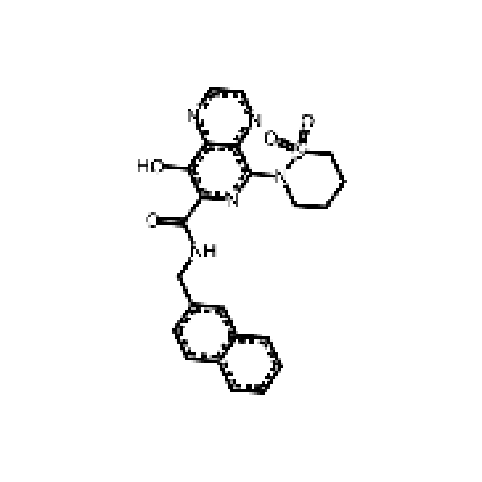 O=C(NCc1ccc2ccccc2c1)c1nc(N2CCCCS2(=O)=O)c2nccnc2c1O